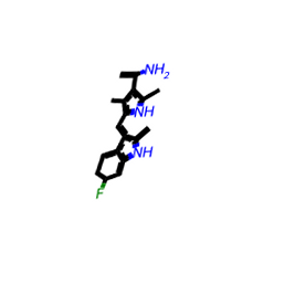 C=C(N)c1c(C)[nH]c(/C=c2\c(=C)[nH]c3c2=CCC(F)C=3)c1C